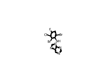 Fc1cc(Br)c(Nn2cnc3cncnc32)c(Br)c1Cl